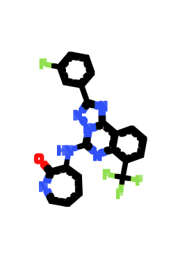 O=c1nccccc1Nc1nc2c(C(F)(F)F)cccc2c2nc(-c3cccc(F)c3)nn12